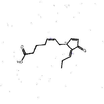 CC/C=C1/C(=O)C=C[C@@H]1C/C=C\CCCC(=O)O